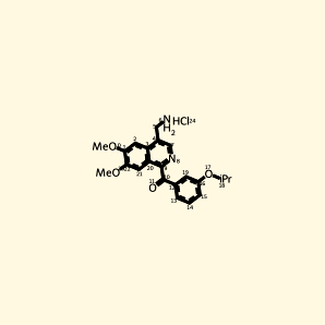 COc1cc2c(CN)cnc(C(=O)c3cccc(OC(C)C)c3)c2cc1OC.Cl